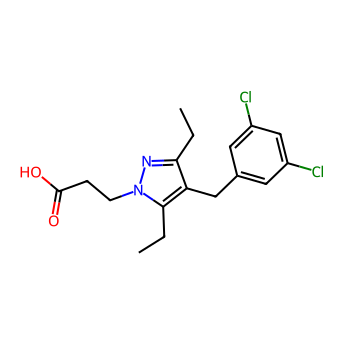 CCc1nn(CCC(=O)O)c(CC)c1Cc1cc(Cl)cc(Cl)c1